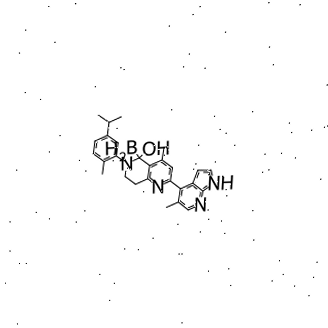 BC1(O)c2c(C)cc(-c3c(C)cnc4[nH]ccc34)nc2CCN1c1cc(C(C)C)ccc1C